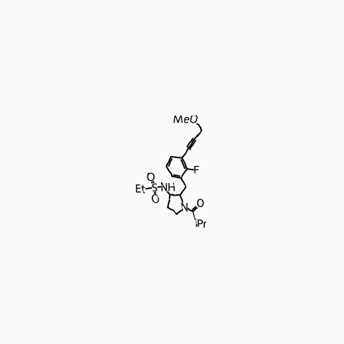 CCS(=O)(=O)NC1CCN(C(=O)C(C)C)C1Cc1cccc(C#CCOC)c1F